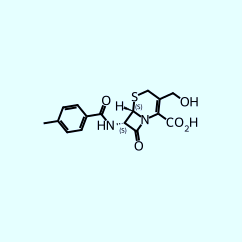 Cc1ccc(C(=O)N[C@H]2C(=O)N3C(C(=O)O)=C(CO)CS[C@@H]23)cc1